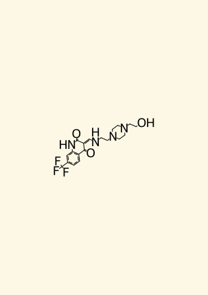 O=C1Nc2cc(C(F)(F)F)ccc2C(=O)C1=CNCCN1CCN(CCO)CC1